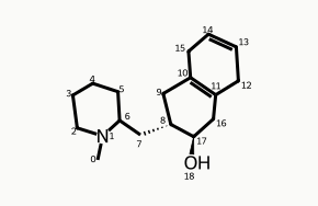 CN1CCCCC1C[C@@H]1CC2=C(CC=CC2)C[C@H]1O